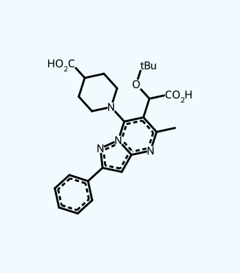 Cc1nc2cc(-c3ccccc3)nn2c(N2CCC(C(=O)O)CC2)c1C(OC(C)(C)C)C(=O)O